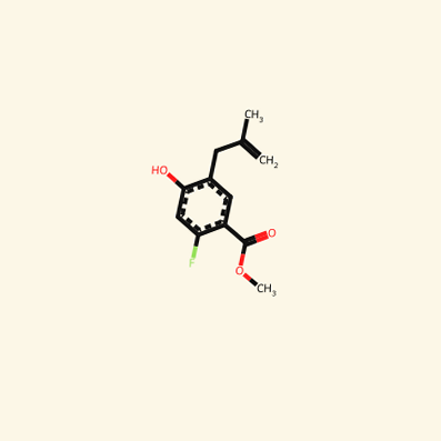 C=C(C)Cc1cc(C(=O)OC)c(F)cc1O